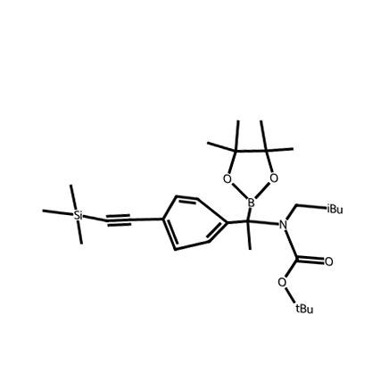 CCC(C)CN(C(=O)OC(C)(C)C)C(C)(B1OC(C)(C)C(C)(C)O1)c1ccc(C#C[Si](C)(C)C)cc1